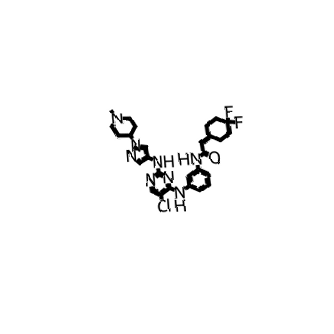 CN1CCC(n2cc(Nc3ncc(Cl)c(Nc4cccc(NC(=O)C=C5CCC(F)(F)CC5)c4)n3)cn2)CC1